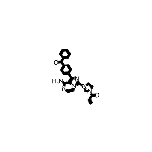 C=CC(=O)N1CCN(c2nc(-c3ccc(C(=O)c4ccccc4)cc3)c3c(N)nccn23)C1